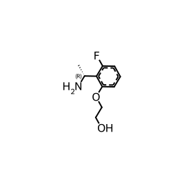 C[C@@H](N)c1c(F)cccc1OCCO